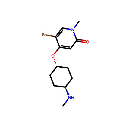 CN[C@H]1CC[C@H](Oc2cc(=O)n(C)cc2Br)CC1